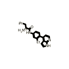 CCc1cc(NC(=O)[C@H](N)CC(C)C)ccc1-c1ccnc2[nH]ccc12